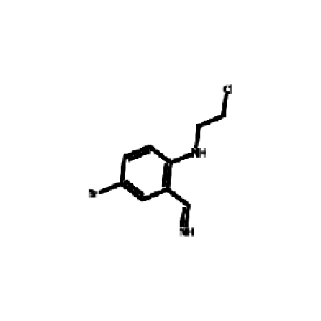 N=Cc1cc(Br)ccc1NCCCl